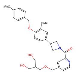 COc1ccc(COc2ccc(C3CN(C(=O)c4cc(COCC(CO)CO)ccn4)C3)cc2OC)cc1